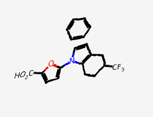 O=C(O)c1ccc(-n2ccc3c2CCC(C(F)(F)F)C3)o1.c1ccccc1